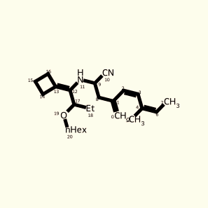 C=C(/C=C\C(C)=C/C)CC(C#N)NC(=C1CCC1)C(CC)OCCCCCC